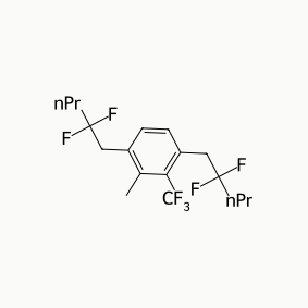 CCCC(F)(F)Cc1ccc(CC(F)(F)CCC)c(C(F)(F)F)c1C